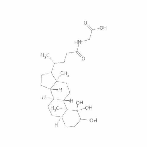 C[C@H](CCC(=O)NCC(=O)O)[C@H]1CC[C@H]2[C@@H]3CC[C@@H]4CCC(O)C(O)(O)[C@]4(C)[C@H]3CC[C@]12C